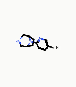 N#Cc1ccc(N2C3CCC2CNC3)nc1